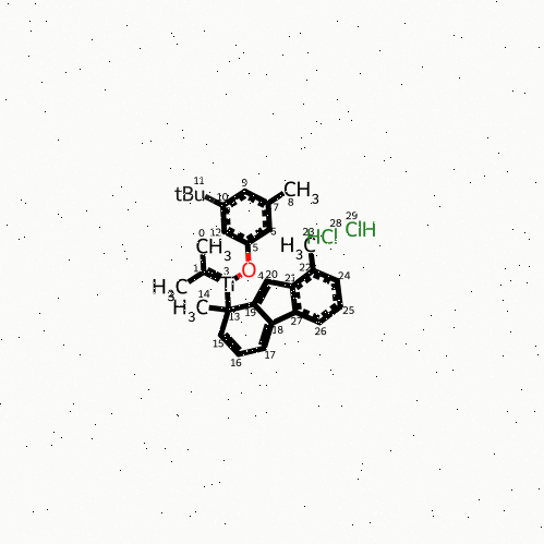 C[C](C)=[Ti]([O]c1cc(C)cc(C(C)(C)C)c1)[C]1(C)C=CC=C2C1=Cc1c(C)cccc12.Cl.Cl